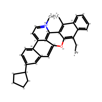 Cc1c2c(c(CC(C)C)c3ccccc13)Oc1cc3cc(C4CCCC4)ccc3c3cc[n+](C)c-2c13